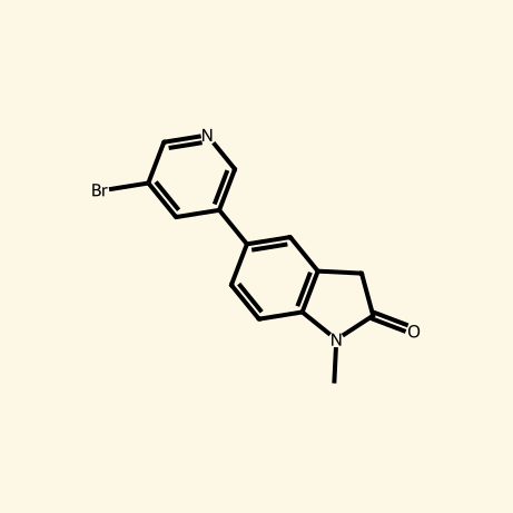 CN1C(=O)Cc2cc(-c3cncc(Br)c3)ccc21